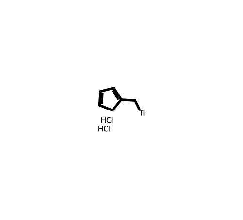 Cl.Cl.[Ti][CH2]C1=CC=CC1